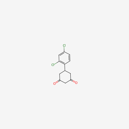 O=C1CC(=O)CC(c2ccc(Cl)cc2Cl)C1